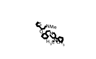 CNCCC(Oc1ccccc1CCN1CCC(c2ccccc2)(N(C)C)CC1)c1cccs1